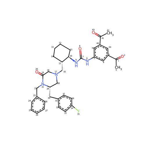 CC(=O)c1cc(NC(=O)N[C@@H]2CCCC[C@H]2CN2CC(=O)N(Cc3ccccc3)[C@@H](Cc3ccc(F)cc3)C2)cc(C(C)=O)c1